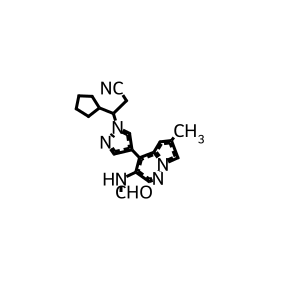 Cc1cc2c(-c3cnn(C(CC#N)C4CCCC4)c3)c(NC=O)cnn2c1